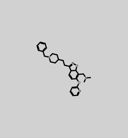 CN(C)CC1=C(Oc2ccccn2)C=CC2C(CCC3CCN(Cc4ccccc4)CC3)=NOC12